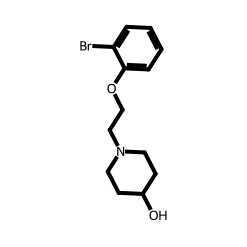 OC1CCN(CCOc2ccccc2Br)CC1